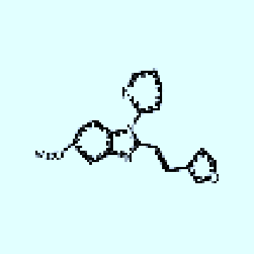 COc1ccc2c(c1)nc(C=Cc1ccoc1)n2-c1ccccn1